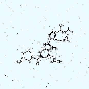 CCOC(=O)c1ccc(-c2nc3cc(C(=O)N4CCC[C@@H](N)C4)cc(OC)c3n2C)n1CC1CC1.Cl